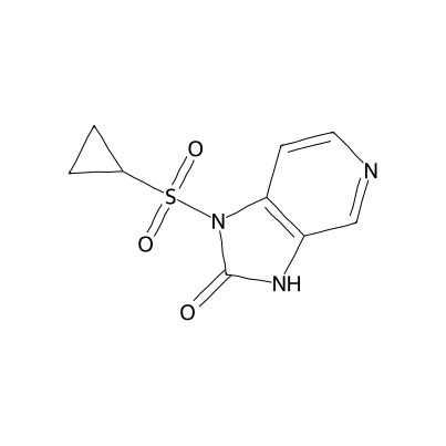 O=c1[nH]c2cnccc2n1S(=O)(=O)C1CC1